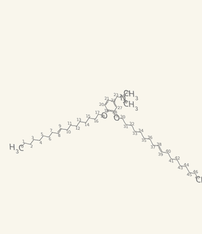 CCCCCCCCC=CCCCCCCCCOc1ccc(CN(C)C)cc1OCCCCCCCCC=CCCCCCCCC